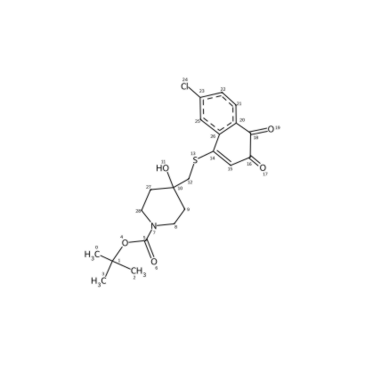 CC(C)(C)OC(=O)N1CCC(O)(CSC2=CC(=O)C(=O)c3ccc(Cl)cc32)CC1